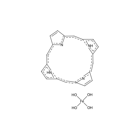 C1=Cc2cc3ccc(cc4nc(cc5ccc(cc1n2)[nH]5)C=C4)[nH]3.[OH][Fe]([OH])([OH])[OH]